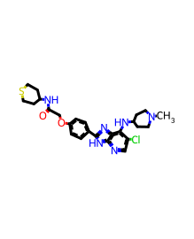 CN1CCC(Nc2c(Cl)cnc3[nH]c(-c4ccc(OCC(=O)NC5CCSCC5)cc4)nc23)CC1